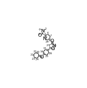 CN(C)C(=O)c1ccc(OC2=NO[C@H](c3ccc(Oc4ccccc4)cc3)C2)cn1